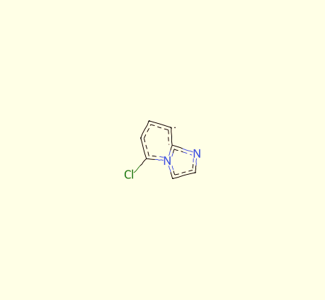 Clc1cc[c]c2nccn12